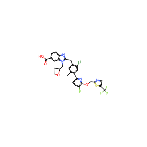 Cc1cc(Cc2nc3ccc(C(=O)O)cc3n2CC2CCO2)c(Cl)cc1-c1ccc(F)c(OCc2ncc(C(F)(F)F)s2)n1